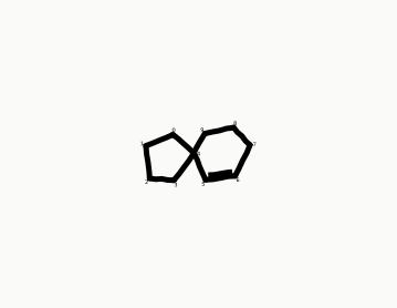 [CH]1CCCC12C=CCCC2